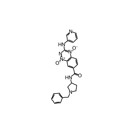 O=C(NC1CCN(Cc2ccccc2)C1)c1ccc2c(c1)[n+]([O-])nc(Nc1cccnc1)[n+]2[O-]